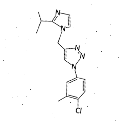 Cc1cc(-n2cc(Cn3ccnc3C(C)C)nn2)ccc1Cl